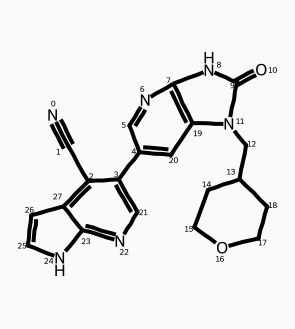 N#Cc1c(-c2cnc3[nH]c(=O)n(CC4CCOCC4)c3c2)cnc2[nH]ccc12